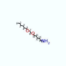 CCCCCCOCCOCCCCCN